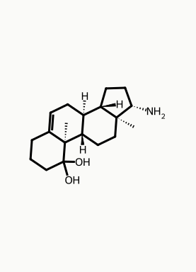 C[C@]12CC[C@H]3[C@@H](CC=C4CCCC(O)(O)[C@@]43C)[C@@H]1CC[C@@H]2N